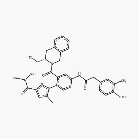 CCCCN(CCCC)C(=O)c1cc(C)n(-c2ccc(NC(=O)Cc3ccc(OC)c(C(F)(F)F)c3)cc2C(=O)N2Cc3ccccc3C[C@H]2CO)n1